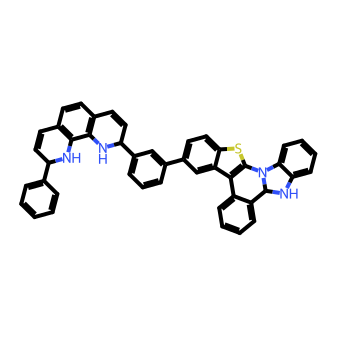 C1=CC(c2ccccc2)Nc2c1ccc1c2NC(c2cccc(-c3ccc4sc5c(c4c3)-c3ccccc3C3Nc4ccccc4N53)c2)C=C1